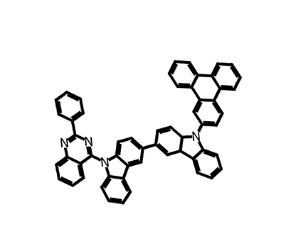 C1=CC2C(C=C1c1ccc3c(c1)c1ccccc1n3-c1nc(-c3ccccc3)nc3ccccc13)c1ccccc1N2c1ccc2c3ccccc3c3ccccc3c2c1